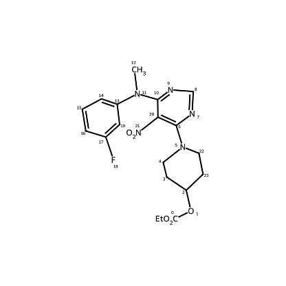 CCOC(=O)OC1CCN(c2ncnc(N(C)c3cccc(F)c3)c2[N+](=O)[O-])CC1